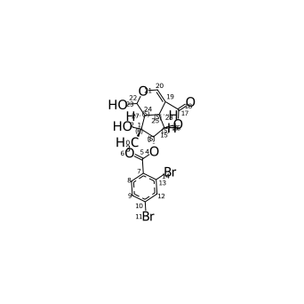 C[C@]1(O)[C@@H](OC(=O)c2ccc(Br)cc2Br)[C@H]2OC(=O)C3=COC(O)[C@H]1[C@@H]32